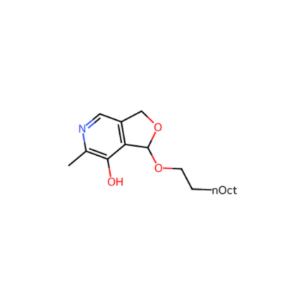 CCCCCCCCCCOC1OCc2cnc(C)c(O)c21